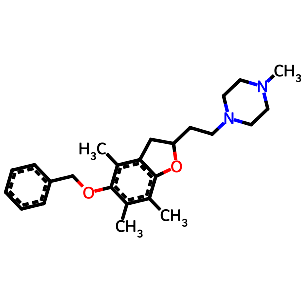 Cc1c(C)c2c(c(C)c1OCc1ccccc1)CC(CCN1CCN(C)CC1)O2